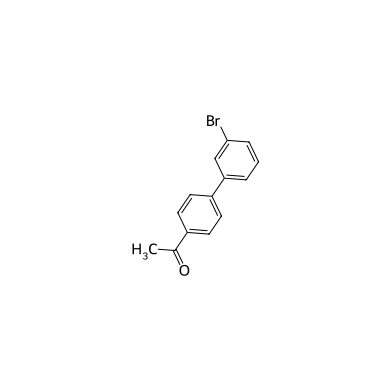 CC(=O)c1ccc(-c2cccc(Br)c2)cc1